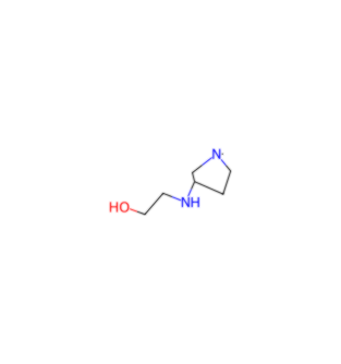 OCCNC1CC[N]C1